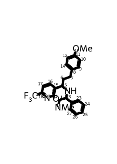 CNC(=O)C(NC(CCc1ccc(OC)cc1)c1ccc(C(F)(F)F)nc1)c1ccccc1